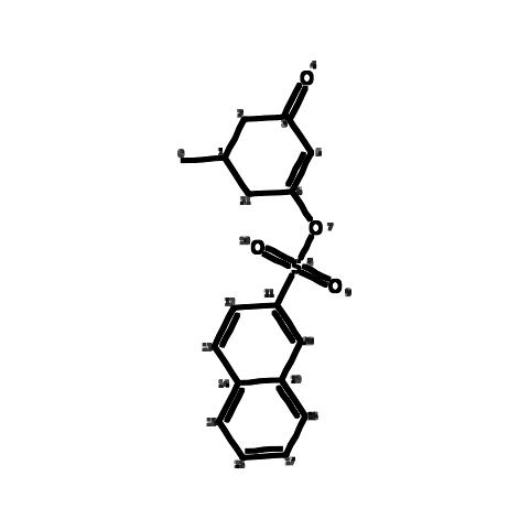 CC1CC(=O)C=C(OS(=O)(=O)c2ccc3ccccc3c2)C1